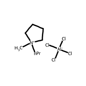 CCC[N+]1(C)CCCC1.[Cl][Al-]([Cl])([Cl])[Cl]